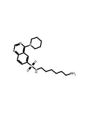 NCCCCCCNS(=O)(=O)c1ccc2ncnc(N3CCCCC3)c2c1